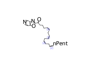 CCCCC/C=C\C/C=C\C/C=C\C/C=C\CCCC(=O)c1nc2cnccc2o1